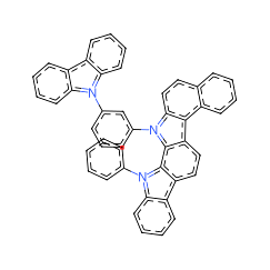 c1ccc(-n2c3ccccc3c3ccc4c5c6ccccc6ccc5n(-c5cccc(-n6c7ccccc7c7ccccc76)c5)c4c32)cc1